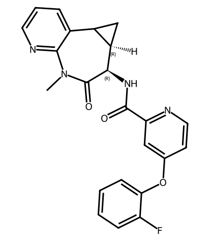 CN1C(=O)[C@H](NC(=O)c2cc(Oc3ccccc3F)ccn2)[C@@H]2CC2c2cccnc21